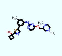 Cc1cc(Nc2nccc(OCC3CN(C)CCN3C)n2)cc(-c2cnc(C3(O)CCC3)s2)c1